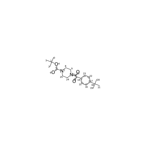 CC(C)(C)OC(=O)N1CCN(S(=O)(=O)c2ccc(C(C)(C)C)cc2)CC1